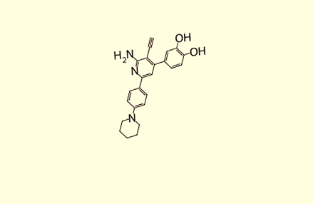 C#Cc1c(-c2ccc(O)c(O)c2)cc(-c2ccc(N3CCCCC3)cc2)nc1N